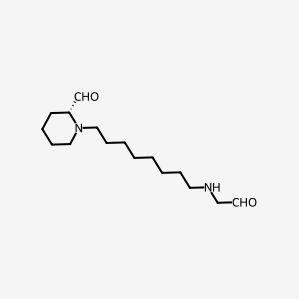 O=CCNCCCCCCCCN1CCCC[C@@H]1C=O